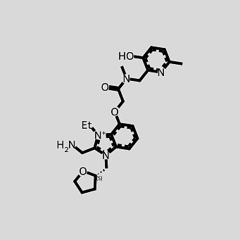 CC[n+]1c(CN)n(C[C@@H]2CCCO2)c2cccc(OCC(=O)N(C)Cc3nc(C)ccc3O)c21